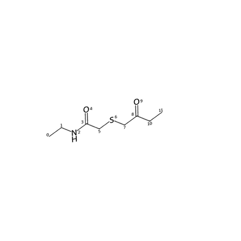 CCNC(=O)CSCC(=O)CC